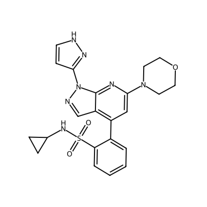 O=S(=O)(NC1CC1)c1ccccc1-c1cc(N2CCOCC2)nc2c1cnn2-c1cc[nH]n1